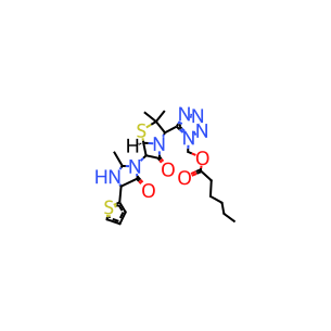 CCCCCC(=O)OCn1nnnc1C1N2C(=O)C(N3C(=O)C(c4cccs4)NC3C)[C@H]2SC1(C)C